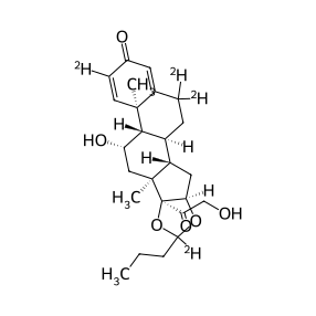 [2H]C1=C[C@@]2(C)C(=CC1=O)C([2H])([2H])C[C@@H]1[C@@H]2[C@@H](O)C[C@@]2(C)[C@H]1C[C@H]1OC([2H])(CCC)O[C@]12C(=O)CO